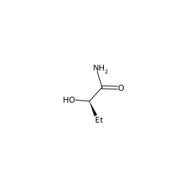 CC[C@@H](O)C(N)=O